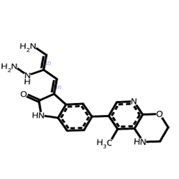 Cc1c(-c2ccc3c(c2)/C(=C/C(=C/N)NN)C(=O)N3)cnc2c1NCCO2